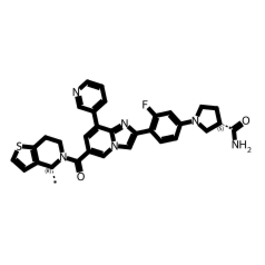 C[C@@H]1c2ccsc2CCN1C(=O)c1cc(-c2cccnc2)c2nc(-c3ccc(N4CC[C@H](C(N)=O)C4)cc3F)cn2c1